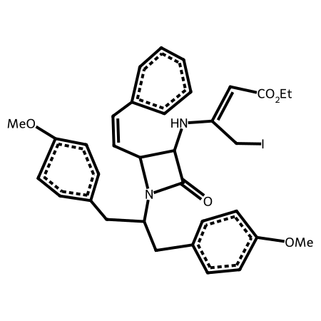 CCOC(=O)C=C(CI)NC1C(=O)N(C(Cc2ccc(OC)cc2)Cc2ccc(OC)cc2)C1C=Cc1ccccc1